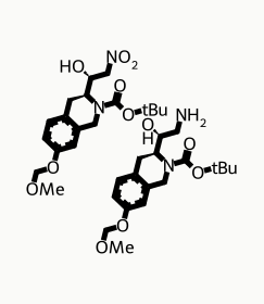 COCOc1ccc2c(c1)CN(C(=O)OC(C)(C)C)[C@H]([C@H](O)CN)C2.COCOc1ccc2c(c1)CN(C(=O)OC(C)(C)C)[C@H]([C@H](O)C[N+](=O)[O-])C2